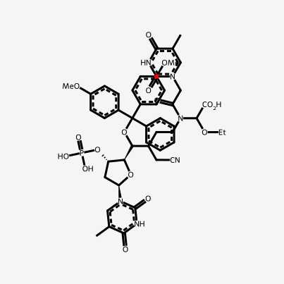 CCOC(C(=O)O)N(CCC(CC#N)C(OC(c1ccccc1)(c1ccc(OC)cc1)c1ccc(OC)cc1)[C@H]1O[C@@H](n2cc(C)c(=O)[nH]c2=O)C[C@@H]1OP(=O)(O)O)C(=O)Cn1cc(C)c(=O)[nH]c1=O